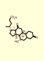 CC(CCC(=O)O)[C@H]1CC[C@H]2[C@@H]3[C@@H](O)CC4CC(=O)CC[C@]4(C)[C@H]3CC(=O)[C@]12C